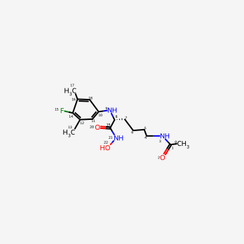 CC(=O)NCCCC[C@@H](Nc1cc(C)c(F)c(C)c1)C(=O)NO